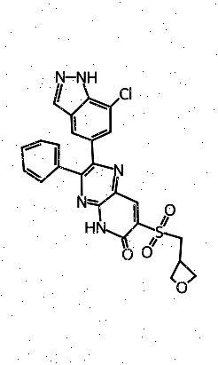 O=c1[nH]c2nc(-c3ccccc3)c(-c3cc(Cl)c4[nH]ncc4c3)nc2cc1S(=O)(=O)CC1COC1